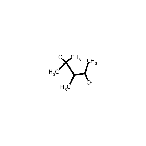 CC([O])C(C)C(C)(C)[O]